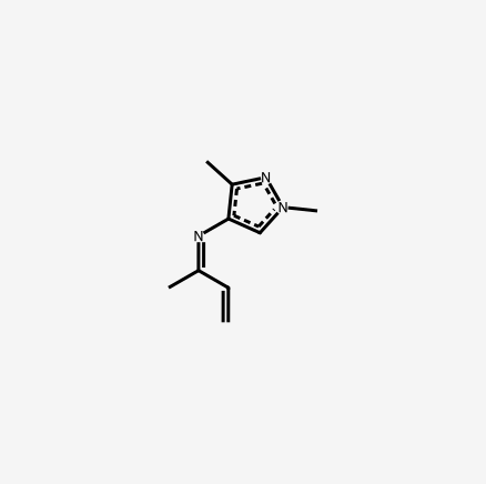 C=C/C(C)=N\c1cn(C)nc1C